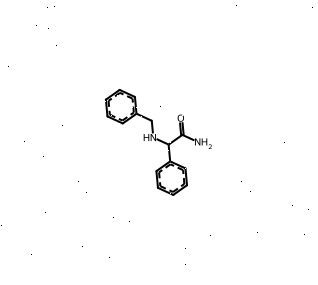 NC(=O)C(NCc1ccccc1)c1ccccc1